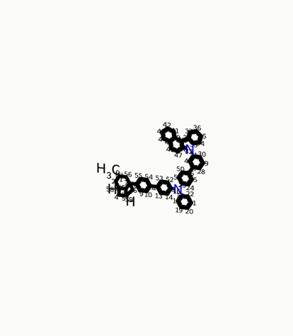 C[C@H]1C[C@H]2C[C@H]3CC(c4ccc(-c5ccc(N(c6ccccc6)c6ccc(-c7cccc(-n8c9ccccc9c9c%10ccccc%10ccc98)c7)cc6)cc5)cc4)(C1)C23